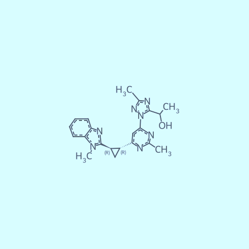 Cc1nc([C@@H]2C[C@H]2c2nc3ccccc3n2C)cc(-n2nc(C)nc2C(C)O)n1